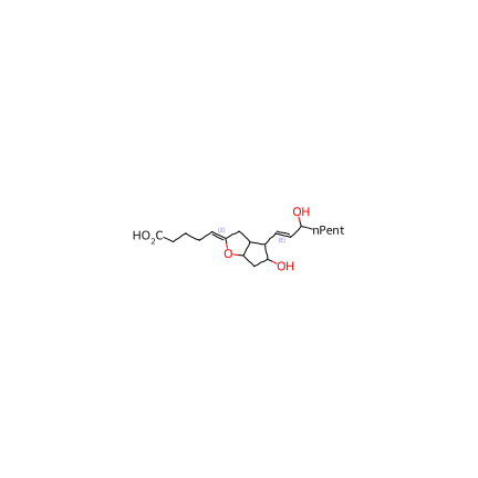 CCCCCC(O)/C=C/C1C(O)CC2O/C(=C\CCCC(=O)O)CC21